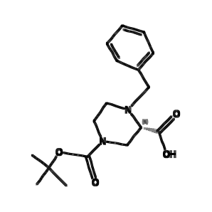 CC(C)(C)OC(=O)N1CCN(Cc2ccccc2)[C@H](C(=O)O)C1